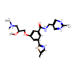 CCOC(COc1cc(C(=O)NCc2cnc(C(F)(F)F)nc2)cc(-c2ncc(C)s2)c1)CN(C)C=O